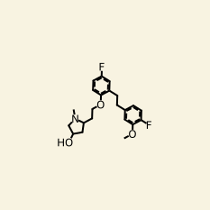 COc1cc(CCc2cc(F)ccc2OCCC2CC(O)CN2C)ccc1F